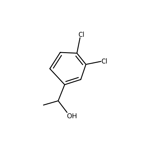 CC(O)c1ccc(Cl)c(Cl)c1